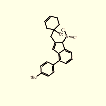 CCC1(CC2=Cc3c(-c4ccc(C(C)(C)C)cc4)cccc3[CH]2[Zr]([Cl])[Cl])CC=CCC1